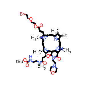 CCC1=C(C)c2cc3[nH]c(cc4nc(c5c6[nH]c(cc1n2)c(C)c6C(=O)N(CCN1CCOCC1)C5=O)[C@@H](CCC(=O)N(C)CCNC(=O)OC(C)(C)C)[C@@H]4C)c(C)c3/C=C/C(=O)OCCOCCBr